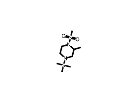 CC1CN(S(C)(C)C)CCN1S(C)(=O)=O